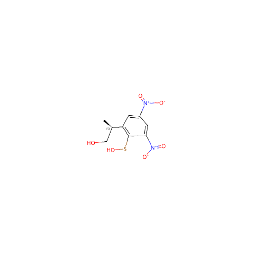 C[C@H](CO)c1cc([N+](=O)[O-])cc([N+](=O)[O-])c1SO